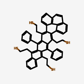 SCCc1c2ccccc2c(CCS)c2c(-c3ccccc3)c3c(CCS)c4c5cccc6ccc7cccc(c4c(CCS)c3c(-c3ccccc3)c12)c7c65